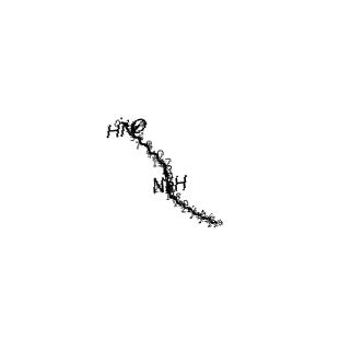 [CH2]CNC(=O)CCCCCCCCC#CC#CCCCCCCCCCCCC.[NaH]